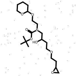 CC(C)(C)OC(=O)N(CCOC1CCCCO1)CC(O)CCOCCC1CO1